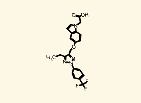 CCc1nn(-c2ccc(C(F)(F)F)cc2)nc1COc1ccc2c(ccn2CC(=O)O)c1